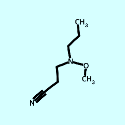 CCCN(CCC#N)OC